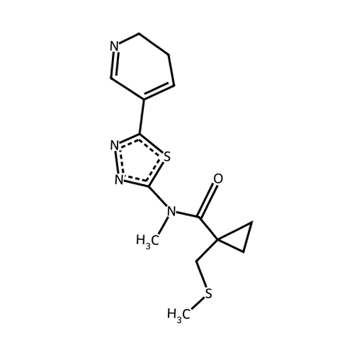 CSCC1(C(=O)N(C)c2nnc(C3=CCCN=C3)s2)CC1